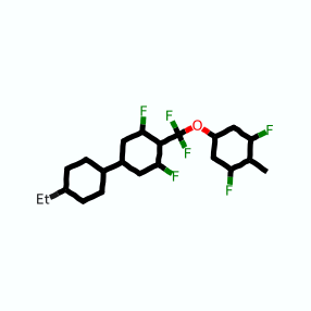 CCC1CCC(C2CC(F)C(C(F)(F)OC3CC(F)C(C)C(F)C3)C(F)C2)CC1